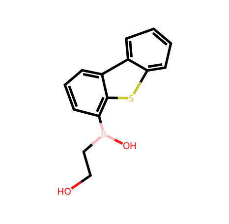 OCCB(O)c1cccc2c1sc1ccccc12